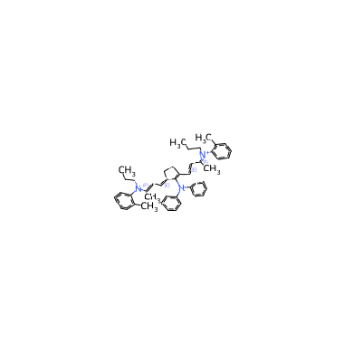 CCCN(/C(C)=C/C=C1\CCC(/C=C/C(C)=[N+](\CCC)c2ccccc2C)=C1N(c1ccccc1)c1ccccc1)c1ccccc1C